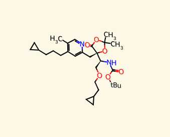 Cc1cnc(C[C@]2([C@H](COCCC3CC3)NC(=O)OC(C)(C)C)OC(C)(C)OC2=O)cc1CCCC1CC1